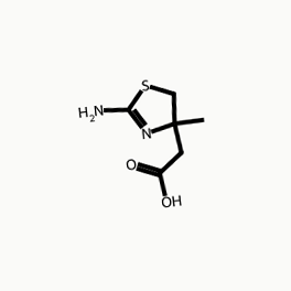 CC1(CC(=O)O)CSC(N)=N1